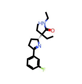 CCNC(=O)C(CC)(CC)[C@H]1CCC(c2cccc(F)c2)=N1